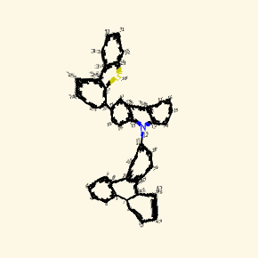 C1=CC2c3ccccc3-c3cc(-n4c5ccccc5c5cc(-c6cccc7c6sc6ccccc67)ccc54)ccc3C2C=C1